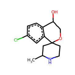 CC1CC2(CCN1)OCC(O)c1ccc(Cl)cc12